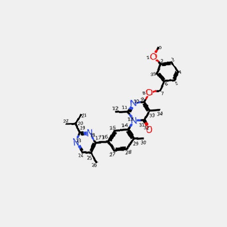 COc1cccc(COc2nc(C)n(-c3cc(-c4nc(C(C)C)ncc4C)ccc3C)c(=O)c2C)c1